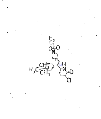 CCS(=O)(=O)N1CC[C@H](/C=C(\c2ccc(C(C)(C)C)cc2)c2ccc(Cl)c(=O)[nH]2)C1